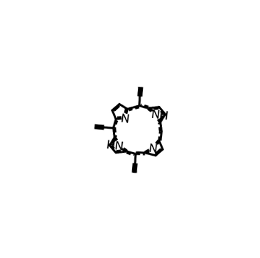 C#Cc1c2nc(c(C#C)c3ccc([nH]3)c(C#C)c3nc(cc4ccc1[nH]4)C=C3)C=C2